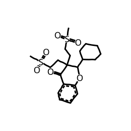 CS(=O)(=O)CCC1(CCS(C)(=O)=O)C(=O)c2ccccc2OC1C1CCCCC1